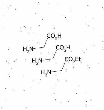 CCOC(=O)CN.NCC(=O)O.NCC(=O)O